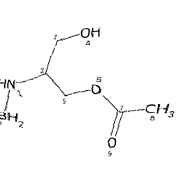 BNC(CO)COC(C)=O